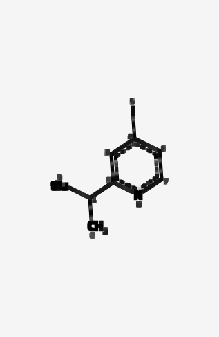 CC(c1cc(I)ccn1)C(C)(C)C